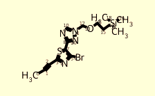 CC#Cc1nc(Br)c(-c2ncn(COCC[Si](C)(C)C)n2)s1